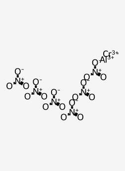 O=[N+]([O-])[O-].O=[N+]([O-])[O-].O=[N+]([O-])[O-].O=[N+]([O-])[O-].O=[N+]([O-])[O-].O=[N+]([O-])[O-].[Al+3].[Cr+3]